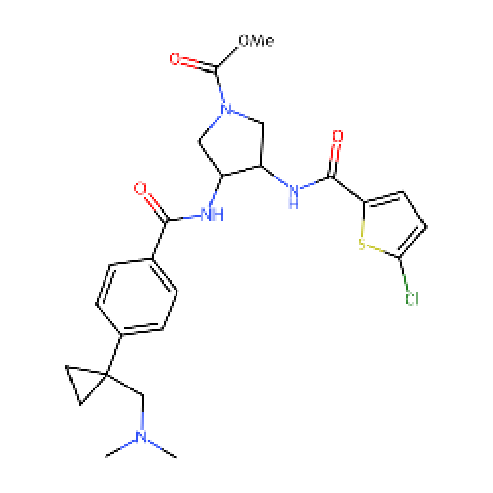 COC(=O)N1CC(NC(=O)c2ccc(C3(CN(C)C)CC3)cc2)C(NC(=O)c2ccc(Cl)s2)C1